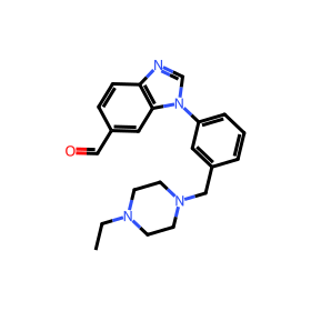 CCN1CCN(Cc2cccc(-n3cnc4ccc(C=O)cc43)c2)CC1